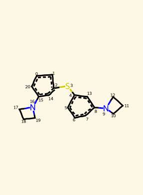 c1cc(Sc2cccc(N3CCC3)c2)cc(N2CCC2)c1